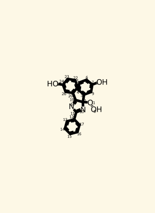 OOC1(c2cccc(O)c2)N=C(c2ccccc2)N=C1c1cccc(O)c1